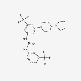 O=C(Nc1cccc(C(F)(F)F)c1)Nc1cc(N2CCC(N3CCCC3)CC2)cc(C(F)(F)F)c1